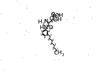 CCCCCCCCc1cccc(NC(=O)C(N)COP(=O)(O)O)c1